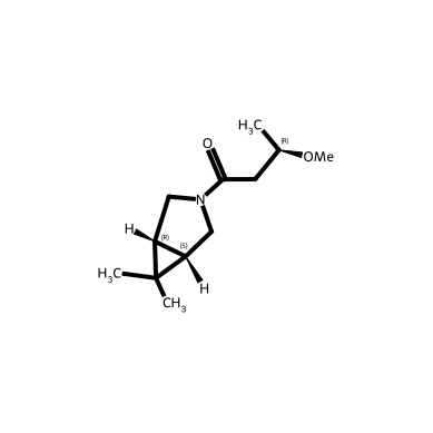 CO[C@H](C)CC(=O)N1C[C@@H]2[C@H](C1)C2(C)C